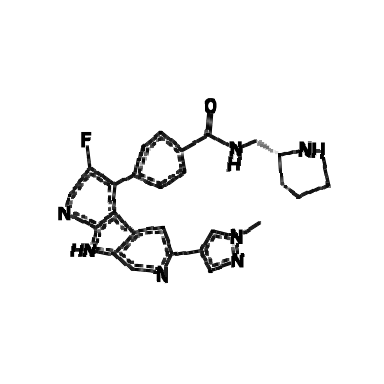 Cn1cc(-c2cc3c(cn2)[nH]c2ncc(F)c(-c4ccc(C(=O)NC[C@H]5CCCCN5)cc4)c23)cn1